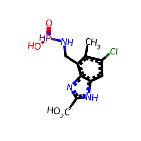 Cc1c(Cl)cc2[nH]c(C(=O)O)nc2c1CN[PH](=O)O